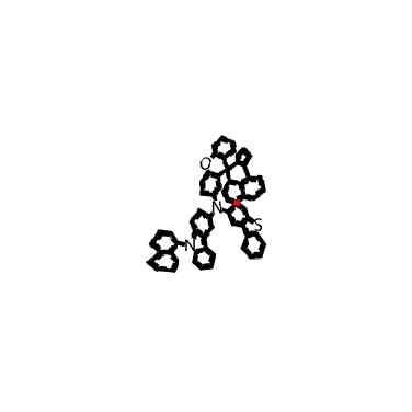 c1ccc2c(c1)Oc1ccc(N(c3ccc4sc5ccccc5c4c3)c3ccc4c(c3)c3ccccc3n4-c3cccc4ccccc34)cc1C21c2ccccc2-c2cccc3cccc1c23